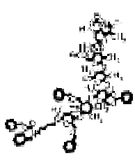 CCC(=O)N[C@H]1C([C@H](C)[C@@H](CC)OC(C)=O)O[C@](C)(O[C@@H]2C(C)[C@H](O[C@@H]3C(C)[C@H](O[C@@H]4C(C)[C@@H](O[C@H]5C(COCc6ccccc6)O[C@@H](O[C@@H]6C(COCc7ccccc7)O[C@@H](OCCCCCN(Cc7ccccc7)C(=O)OCc7ccccc7)C(C)[C@H]6C)C(C)[C@H]5C)OC5COC(c6ccccc6)O[C@@H]54)OC(CC)[C@@H]3C)OC(COC(C)=O)[C@@H]2C)C[C@H]1C